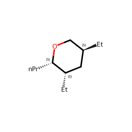 CCC[C@@H]1OC[C@@H](CC)C[C@@H]1CC